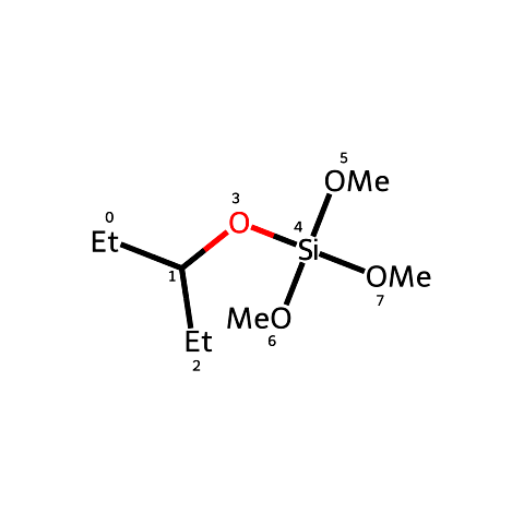 CCC(CC)O[Si](OC)(OC)OC